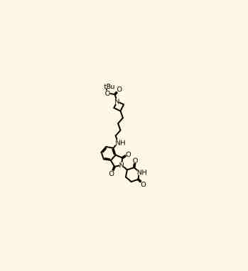 CC(C)(C)OC(=O)N1CC(CCCCNc2cccc3c2C(=O)N(C2CCC(=O)NC2=O)C3=O)C1